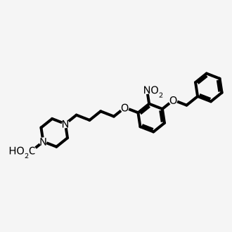 O=C(O)N1CCN(CCCCOc2cccc(OCc3ccccc3)c2[N+](=O)[O-])CC1